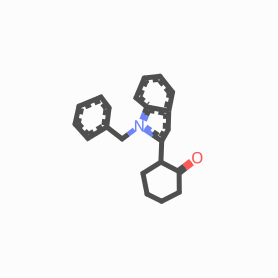 O=C1CCCCC1c1cc2ccccc2n1Cc1ccccc1